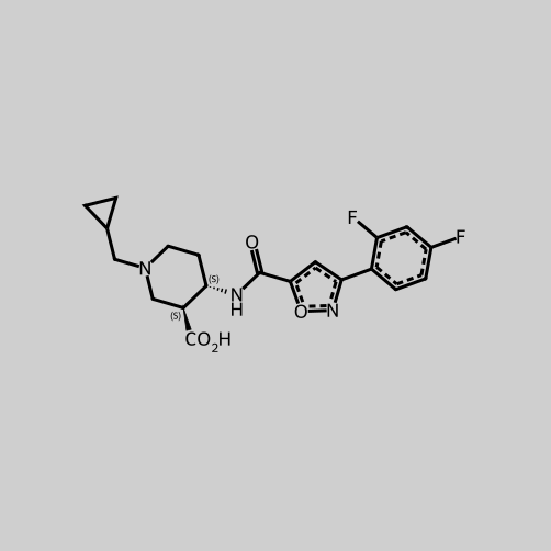 O=C(N[C@H]1CCN(CC2CC2)C[C@@H]1C(=O)O)c1cc(-c2ccc(F)cc2F)no1